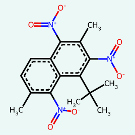 Cc1ccc2c([N+](=O)[O-])c(C)c([N+](=O)[O-])c(C(C)(C)C)c2c1[N+](=O)[O-]